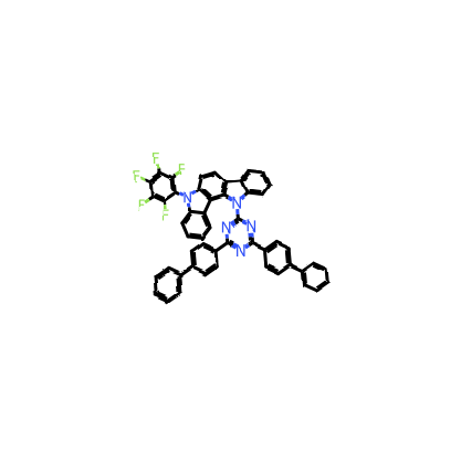 Fc1c(F)c(F)c(-n2c3ccccc3c3c2ccc2c4ccccc4n(-c4nc(-c5ccc(-c6ccccc6)cc5)nc(-c5ccc(-c6ccccc6)cc5)n4)c23)c(F)c1F